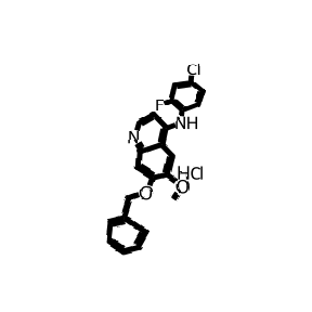 COc1cc2c(Nc3ccc(Cl)cc3F)ccnc2cc1OCc1ccccc1.Cl